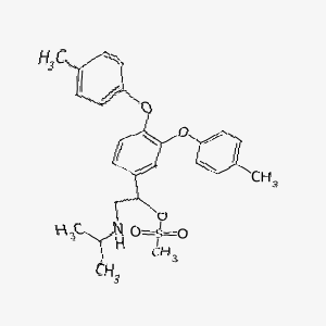 Cc1ccc(Oc2ccc(C(CNC(C)C)OS(C)(=O)=O)cc2Oc2ccc(C)cc2)cc1